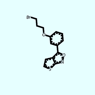 BrCCCOc1cccc(-c2onc3sccc23)c1